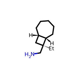 CC[C@]1(CN)C[C@@H]2CCCCC[C@@H]21